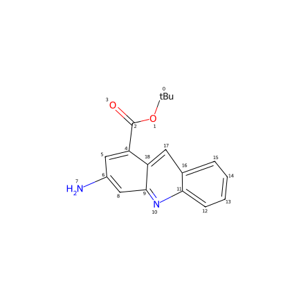 CC(C)(C)OC(=O)c1cc(N)cc2nc3ccccc3cc12